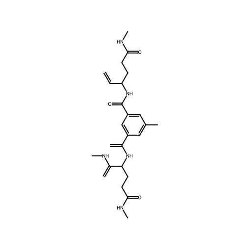 C=CC(CCC(=O)NC)NC(=O)c1cc(C)cc(C(=C)NC(CCC(=O)NC)C(=C)NC)c1